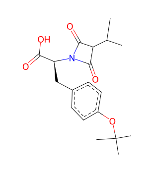 CC(C)C1C(=O)N([C@@H](Cc2ccc(OC(C)(C)C)cc2)C(=O)O)C1=O